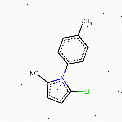 Cc1ccc(-n2c(Cl)ccc2C#N)cc1